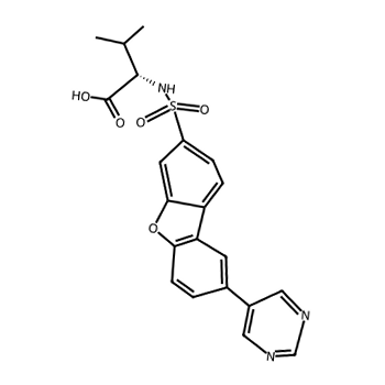 CC(C)[C@H](NS(=O)(=O)c1ccc2c(c1)oc1ccc(-c3cncnc3)cc12)C(=O)O